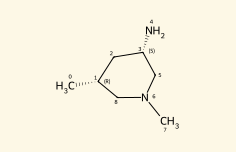 C[C@@H]1C[C@H](N)CN(C)C1